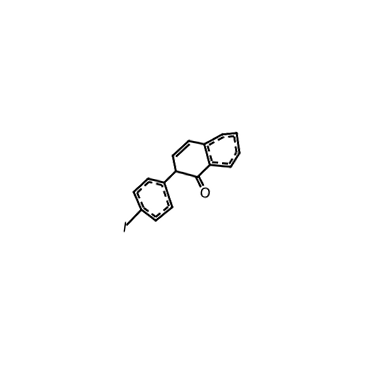 O=C1c2ccccc2C=CC1c1ccc(I)cc1